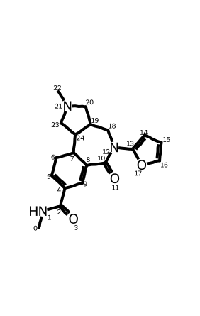 CNC(=O)C1=CCC2C(=C1)C(=O)N(c1ccco1)CC1CN(C)CC12